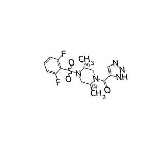 C[C@@H]1CN(C(=O)c2cnn[nH]2)[C@@H](C)CN1S(=O)(=O)c1c(F)cccc1F